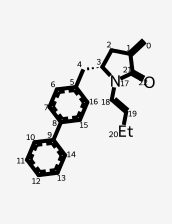 C=C1C[C@@H](Cc2ccc(-c3ccccc3)cc2)N(/C=C/CC)C1=O